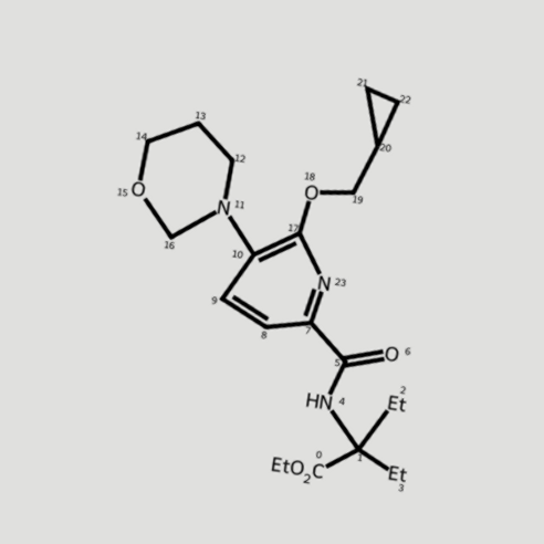 CCOC(=O)C(CC)(CC)NC(=O)c1ccc(N2CCCOC2)c(OCC2CC2)n1